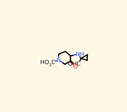 O=CC1(NC2CCN(C(=O)O)CC2=O)CC1